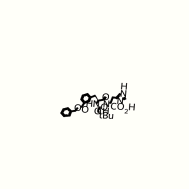 CC(C)(C)OC(=O)N[C@@H](Cc1cccc(C(=O)OCc2ccccc2)c1)C(=O)N[C@@H](Cc1c[nH]cn1)C(=O)O